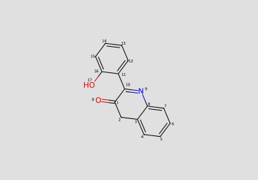 O=C1Cc2ccccc2N=C1c1ccccc1O